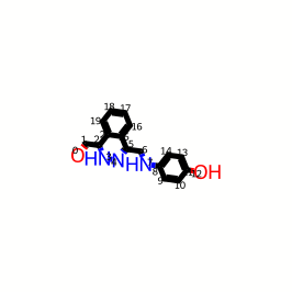 O=CC1NN=C(CNc2ccc(O)cc2)c2ccccc21